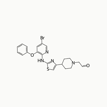 O=CCN1CCC(c2csc(Nc3ncc(Br)cc3Oc3ccccc3)n2)CC1